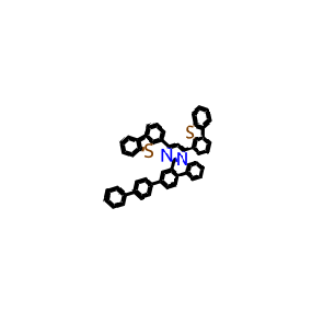 c1ccc(-c2ccc(-c3ccc(-c4ccccc4)c(-c4nc(-c5cccc6c5sc5ccccc56)cc(-c5cccc6c5sc5ccccc56)n4)c3)cc2)cc1